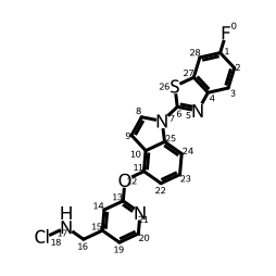 Fc1ccc2nc(-n3ccc4c(Oc5cc(CNCl)ccn5)cccc43)sc2c1